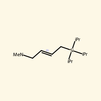 CNC/C=C/C[Si](C(C)C)(C(C)C)C(C)C